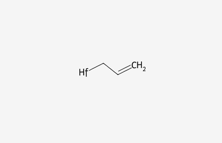 C=C[CH2][Hf]